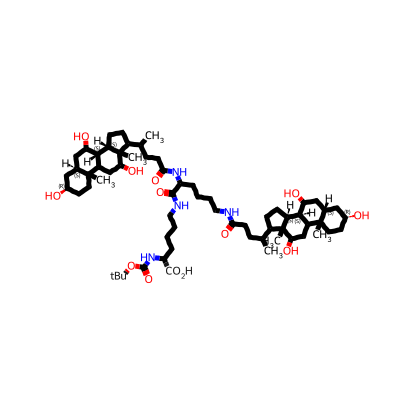 CC(CCC(=O)NCCCCC(NC(=O)CCC(C)C1CC[C@H]2[C@H]3C(O)C[C@@H]4C[C@H](O)CCC4(C)C3CC(O)C12C)C(=O)NCCCCC(NC(=O)OC(C)(C)C)C(=O)O)C1CC[C@H]2[C@H]3C(O)C[C@@H]4C[C@H](O)CCC4(C)C3CC(O)C12C